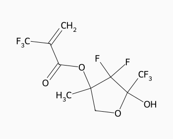 C=C(C(=O)OC1(C)COC(O)(C(F)(F)F)C1(F)F)C(F)(F)F